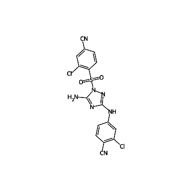 N#Cc1ccc(S(=O)(=O)n2nc(Nc3ccc(C#N)c(Cl)c3)nc2N)c(Cl)c1